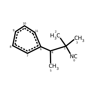 [C-]#[N+]C(C)(C)C(C)c1ccccc1